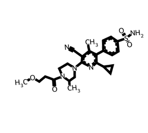 COCCC(=O)N1CCN(c2nc(C3CC3)c(-c3ccc(S(N)(=O)=O)cc3)c(C)c2C#N)CC1C